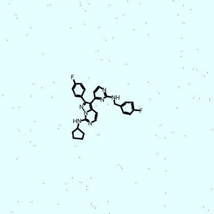 Fc1ccc(CNc2nccc(-c3c(-c4ccc(F)cc4)nn4c(NC5CCCC5)nccc34)n2)cc1